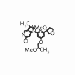 CO[C@H](C)COc1cc(-n2nc(C)c3cnc(Cl)cc32)nc([C@]2(OC)CCOC2)c1